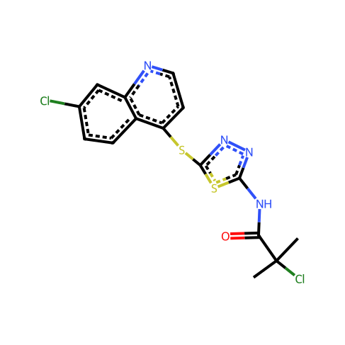 CC(C)(Cl)C(=O)Nc1nnc(Sc2ccnc3cc(Cl)ccc23)s1